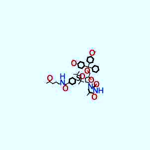 COc1ccc(C(OC[C@H]2O[C@@H](n3cc(C)c(=O)[nH]c3=O)CC2O[Si](c2ccc(C(=O)NCCCC(C)=O)cc2)(C(C)C)C(C)C)(c2ccccc2)c2ccc(OC)cc2)cc1